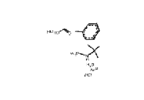 CC(C)(C)NN.Cc1ccccc1.Cl.Cl.O.O=CO.[NaH]